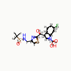 CC(C)(C)[S+]([O-])NCc1csc(C(=O)c2cn(C(=O)O)c3cc(F)ccc23)n1